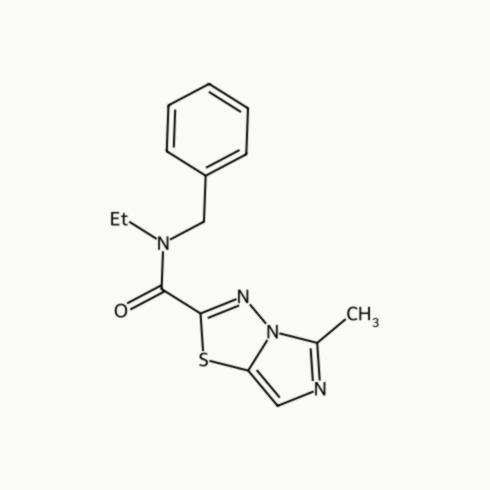 CCN(Cc1ccccc1)C(=O)c1nn2c(C)ncc2s1